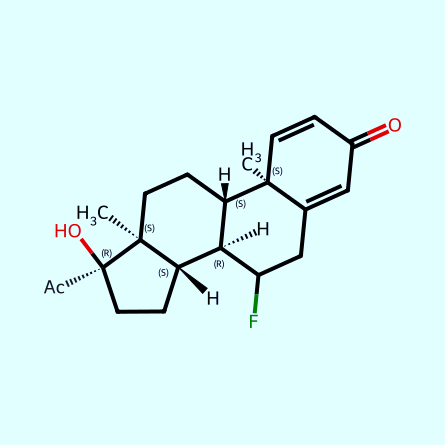 CC(=O)[C@@]1(O)CC[C@H]2[C@@H]3C(F)CC4=CC(=O)C=C[C@]4(C)[C@H]3CC[C@@]21C